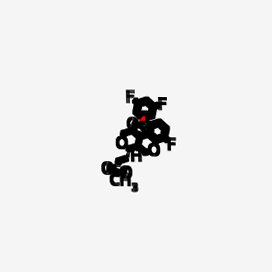 CS(=O)(=O)CC[C@@H]1OCC[C@@]2(S(=O)(=O)c3cc(F)cc(F)c3)c3c(F)ccc(F)c3OC[C@@H]12